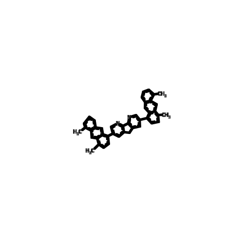 Cc1cccc2cc3c(-c4cnc5c(c4)Cc4cc(-c6ccc(C)c7cc8c(C)cccc8cc67)cnc4-5)ccc(C)c3cc12